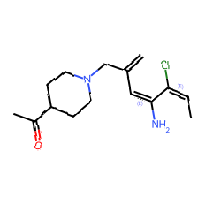 C=C(/C=C(N)\C(Cl)=C/C)CN1CCC(C(C)=O)CC1